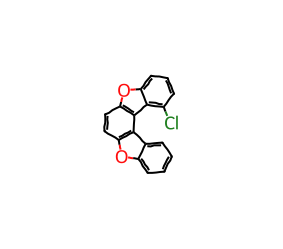 Clc1cccc2oc3ccc4oc5ccccc5c4c3c12